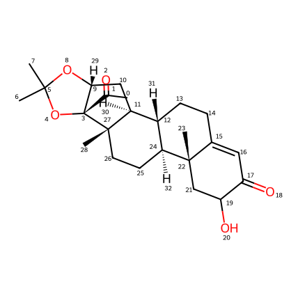 CC(=O)[C@@]12OC(C)(C)O[C@@H]1C[C@H]1[C@@H]3CCC4=CC(=O)C(O)C[C@]4(C)[C@H]3CC[C@@]12C